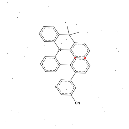 CC1(C)c2ccccc2N(c2ccccc2-c2ccccc2-c2cncc(C#N)c2)c2ccccc21